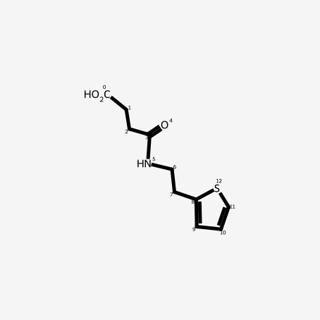 O=C(O)CCC(=O)NCCc1cccs1